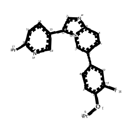 CC(C)Oc1ccc(-c2ccc3ncc(-c4ccc(C(C)C)nc4)n3c2)cc1F